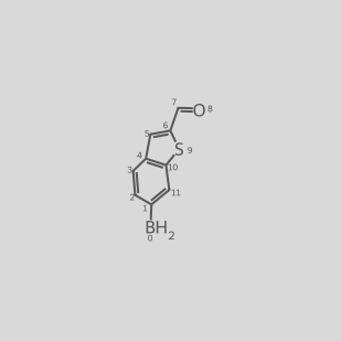 Bc1ccc2cc(C=O)sc2c1